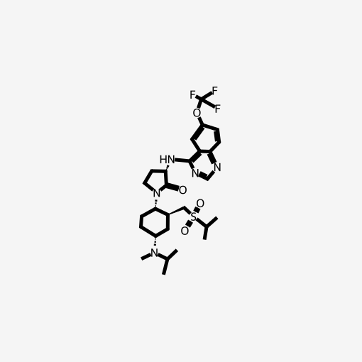 CC(C)N(C)[C@@H]1CC[C@H](N2CC[C@H](Nc3ncnc4ccc(OC(F)(F)F)cc34)C2=O)[C@@H](CS(=O)(=O)C(C)C)C1